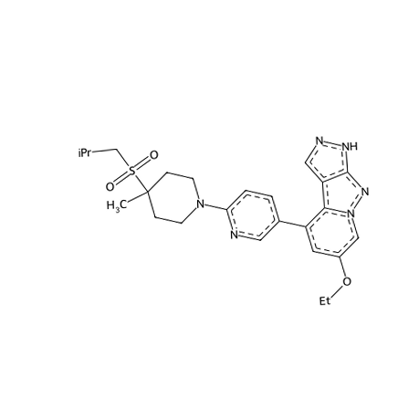 CCOc1cc(-c2ccc(N3CCC(C)(S(=O)(=O)CC(C)C)CC3)nc2)c2c3cn[nH]c3nn2c1